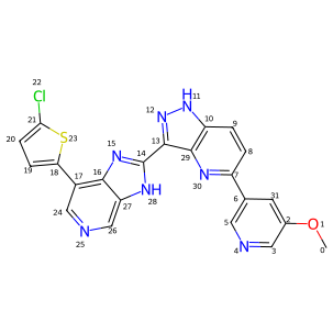 COc1cncc(-c2ccc3[nH]nc(-c4nc5c(-c6ccc(Cl)s6)cncc5[nH]4)c3n2)c1